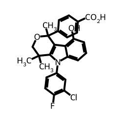 CC1(C)COC(C)(c2ccc(C(=O)O)cc2)c2c1n(-c1ccc(F)c(Cl)c1)c1cccc(O)c21